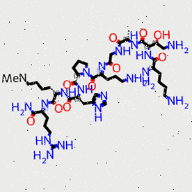 CNCCCC[C@H](NC(=O)[C@H](Cc1cnc[nH]1)NC(=O)[C@@H]1CCCN1C(=O)/C(CCCN)=N/C(=O)CNC(=O)[C@H](C)NC(=O)[C@@H](NC(=O)[C@@H](N)CCCCN)[C@@H](O)CN)C(=O)/N=C(\CCCNC(=N)N)C(N)=O